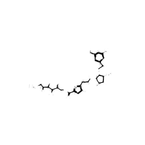 O=C(OCC(O)C(O)C(O)C(O)CO)c1ccc(CCC[C@@H]2[C@@H](CCc3cc(Cl)cc(Cl)c3)[C@H](O)C[C@@H]2Cl)s1